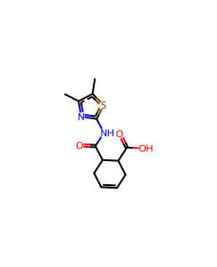 Cc1nc(NC(=O)C2CC=CCC2C(=O)O)sc1C